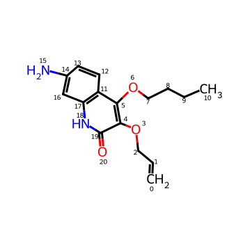 C=CCOc1c(OCCCC)c2ccc(N)cc2[nH]c1=O